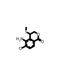 CSC1COC(=O)c2ccc(Cl)c(N)c21